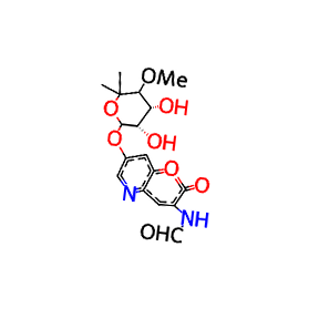 COC1[C@H](O)[C@H](O)C(Oc2cnc3cc(NC=O)c(=O)oc3c2)OC1(C)C